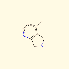 Cc1ccnc2c1CNC2